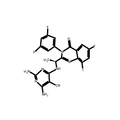 C[C@H](Nc1nc(N)nc(N)c1C#N)c1nc2c(I)cc(F)cc2c(=O)n1-c1cc(F)cc(F)c1